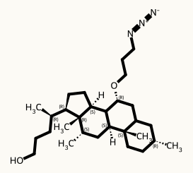 C[C@@H]1CC[C@@]2(C)C(C1)C[C@@H](OCCCN=[N+]=[N-])C1[C@@H]3CC[C@H]([C@H](C)CCCO)[C@@]3(C)[C@@H](C)C[C@@H]12